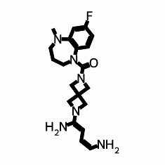 CN1CCCN(C(=O)N2CC3(C2)CN(/C(N)=C/C=C\N)C3)c2ccc(F)cc21